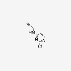 C#CCNc1ccnc(Cl)n1